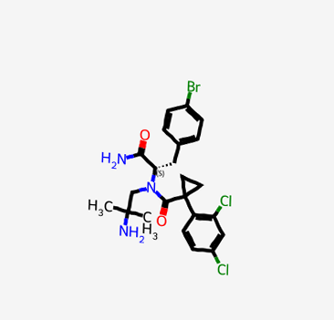 CC(C)(N)CN(C(=O)C1(c2ccc(Cl)cc2Cl)CC1)[C@@H](Cc1ccc(Br)cc1)C(N)=O